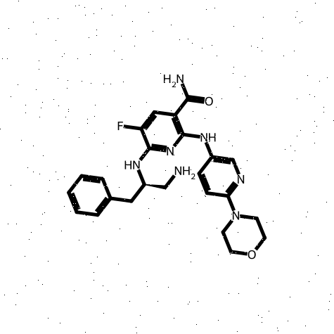 NC[C@@H](Cc1ccccc1)Nc1nc(Nc2ccc(N3CCOCC3)nc2)c(C(N)=O)cc1F